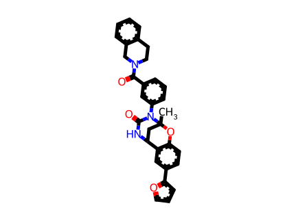 CC12CC(NC(=O)N1c1cccc(C(=O)N3CCc4ccccc4C3)c1)c1cc(-c3ccco3)ccc1O2